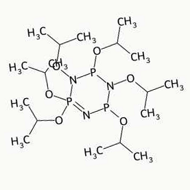 CC(C)ON1P(OC(C)C)N=P(OC(C)C)(OC(C)C)N(OC(C)C)P1OC(C)C